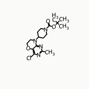 Cc1nc(Cl)c2c(n1)N(C1CCN(C(=O)OC(C)(C)C)CC1)CCO2